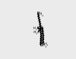 CCCCCCCCCCCCCCCC(CC)P(C(CC)CCCCCCCCCCCCCCC)C(CC)CCCCCCCCCCCCCCC